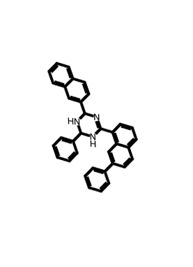 c1ccc(-c2ccc3cccc(C4=NC(c5ccc6ccccc6c5)NC(c5ccccc5)N4)c3c2)cc1